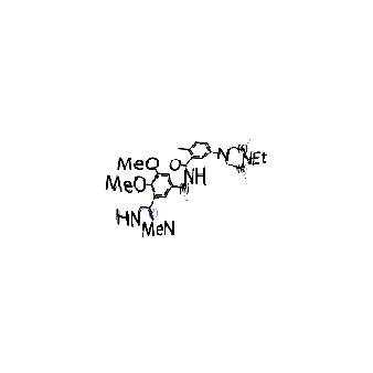 CCN1[C@H](C)CN(c2ccc(C)c(C(=O)N[C@H](C)c3cc(OC)c(OC)c(/C(C=N)=C/NC)c3)c2)C[C@@H]1C